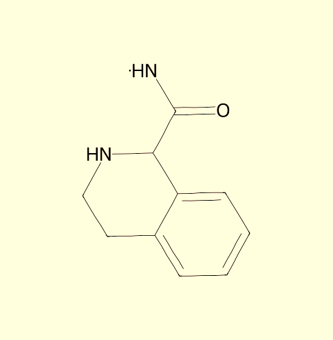 [NH]C(=O)C1NCCc2ccccc21